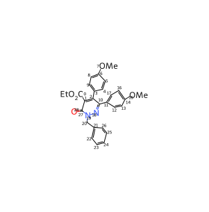 CCOC(=O)c1c(-c2ccc(OC)cc2)c(-c2ccc(OC)cc2)nn(Cc2ccccc2)c1=O